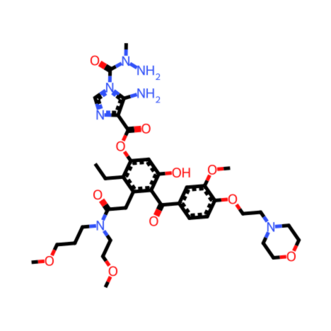 CCc1c(OC(=O)c2ncn(C(=O)N(C)N)c2N)cc(O)c(C(=O)c2ccc(OCCN3CCOCC3)c(OC)c2)c1CC(=O)N(CCCOC)CCOC